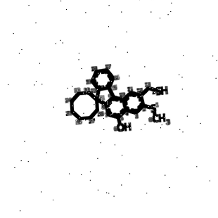 CSc1cc2c(O)cc3c(c2cc1CS)-c1ccccc1C31CCCCCCC1